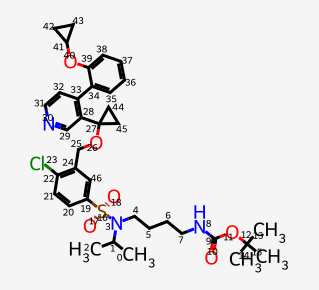 CC(C)N(CCCCNC(=O)OC(C)(C)C)S(=O)(=O)c1ccc(Cl)c(COC2(c3cnccc3-c3ccccc3OC3CC3)CC2)c1